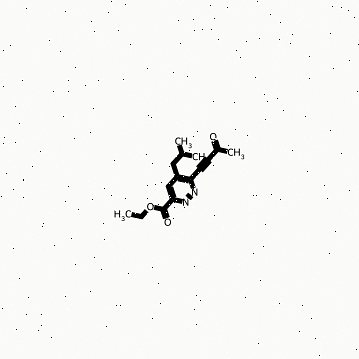 CCOC(=O)c1cc(CC(C)C)c(C#CC(C)=O)nn1